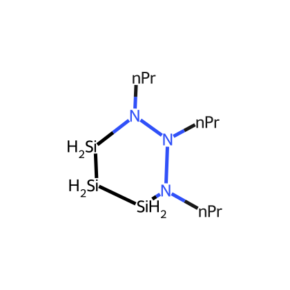 CCCN1[SiH2][SiH2][SiH2]N(CCC)N1CCC